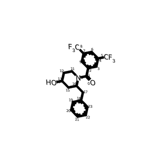 O=C(c1cc(C(F)(F)F)cc(C(F)(F)F)c1)N1CCC(O)CC1Cc1ccccc1